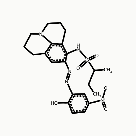 CCC(C)S(=O)(=O)Nc1c(N=Nc2cc([N+](=O)[O-])ccc2O)cc2c3c1CCCN3CCC2